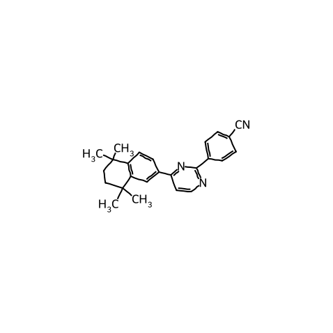 CC1(C)CCC(C)(C)c2cc(-c3ccnc(-c4ccc(C#N)cc4)n3)ccc21